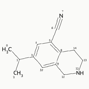 CC(C)c1cc(C#N)c2c(c1)CNCC2